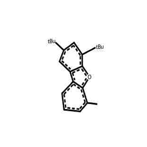 Cc1cccc2c1oc1c(C(C)(C)C)cc(C(C)(C)C)cc12